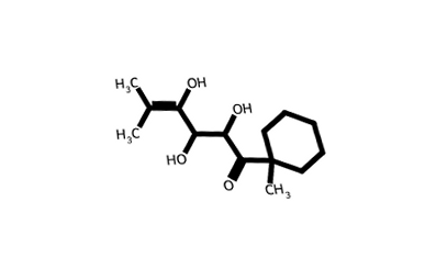 CC(C)=C(O)C(O)C(O)C(=O)C1(C)CCCCC1